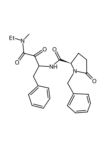 CCN(C)C(=O)C(=O)C(Cc1ccccc1)NC(=O)[C@H]1CCC(=O)N1Cc1ccccc1